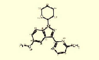 Cc1ccnc(-c2nn(C3CCCCO3)c3ccc(OC(C)C)cc23)n1